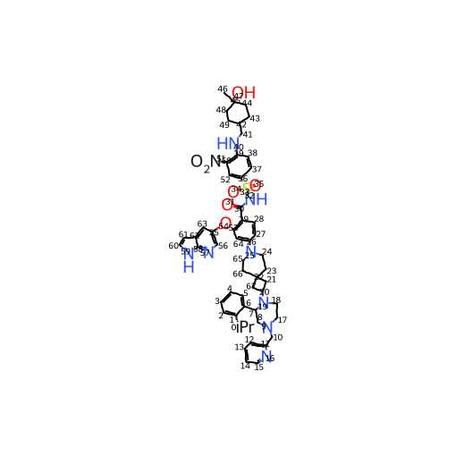 CC(C)c1ccccc1C1CN(Cc2ccccn2)CCN1C1CC2(CCN(c3ccc(C(=O)NS(=O)(=O)c4ccc(NCC5CCC(C)(O)CC5)c([N+](=O)[O-])c4)c(Oc4cnc5[nH]ccc5c4)c3)CC2)C1